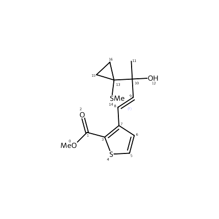 COC(=O)c1sccc1/C=C/C(C)(O)C1(SC)CC1